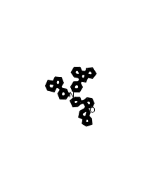 c1cc(-c2cccc3ccccc23)cc(N(c2ccc(-c3cc4ccccc4c4ccccc34)cc2)c2cccc(-c3cccc4oc5c6ccccc6ccc5c34)c2)c1